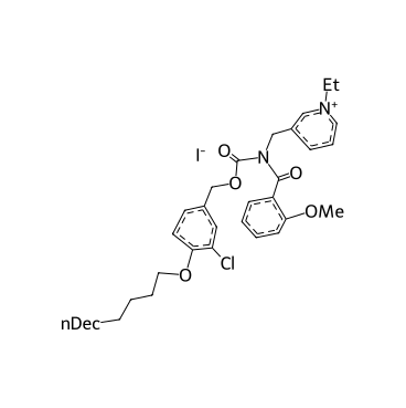 CCCCCCCCCCCCCCOc1ccc(COC(=O)N(Cc2ccc[n+](CC)c2)C(=O)c2ccccc2OC)cc1Cl.[I-]